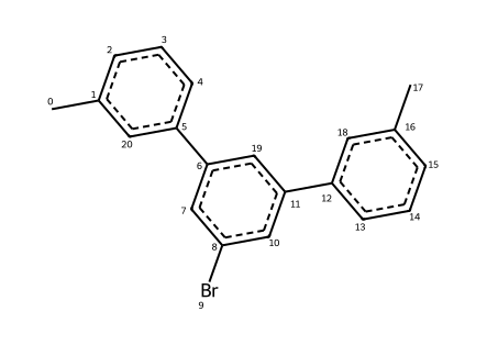 Cc1cccc(-c2cc(Br)cc(-c3cccc(C)c3)c2)c1